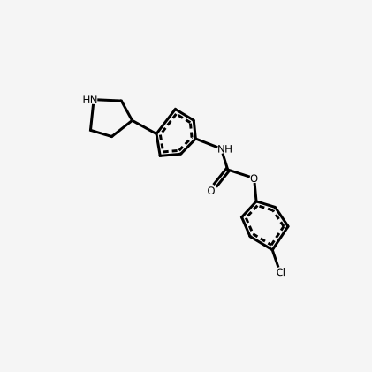 O=C(Nc1ccc(C2CCNC2)cc1)Oc1ccc(Cl)cc1